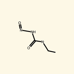 CC[N]C(=O)NN=O